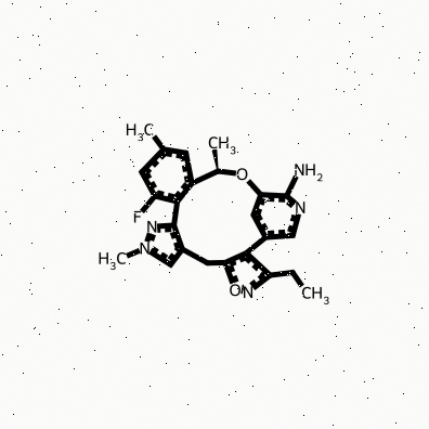 CCc1noc2c1-c1cnc(N)c(c1)O[C@H](C)c1cc(C)cc(F)c1-c1nn(C)cc1C2